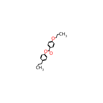 CCCOc1ccc(C(=O)Oc2ccc(CCC)cc2)cc1